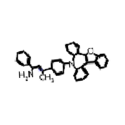 C/C(=C\C(N)c1ccccc1)C1C=CC(N2c3ccccc3-c3c(oc4ccccc34)C3C=CC=CC32)=CC1